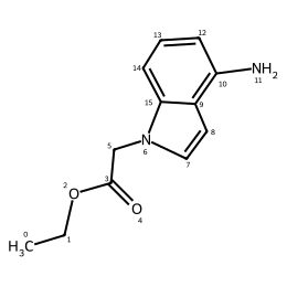 CCOC(=O)Cn1ccc2c(N)cccc21